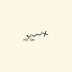 C=P(O)(O)OCCCOC(C)(C)C